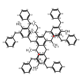 CCC(C)c1c(Cc2cc(Cc3ccccc3)c(O)c(Cc3ccccc3)c2)c(C(C)CC)c(Cc2cc(Cc3ccccc3)c(O)c(Cc3ccccc3)c2)c(C(C)CC)c1Cc1cc(Cc2ccccc2)c(O)c(Cc2ccccc2)c1